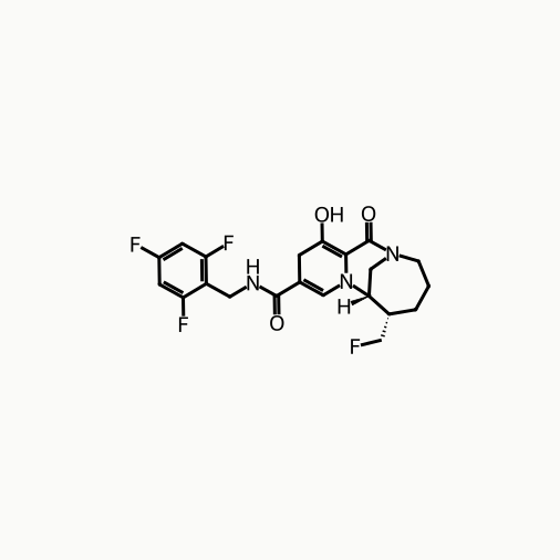 O=C(NCc1c(F)cc(F)cc1F)C1=CN2C(=C(O)C1)C(=O)N1CCC[C@H](CF)[C@H]2C1